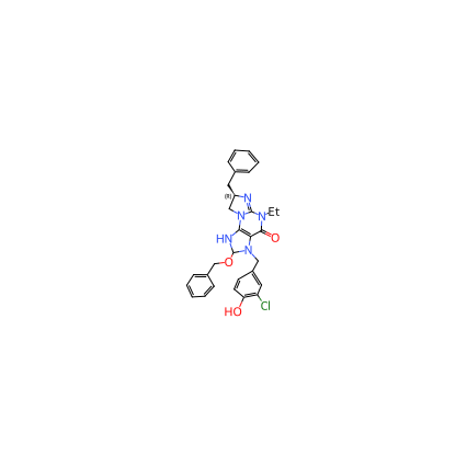 CCN1C(=O)C2=C(NC(OCc3ccccc3)N2Cc2ccc(O)c(Cl)c2)N2C[C@@H](Cc3ccccc3)N=C12